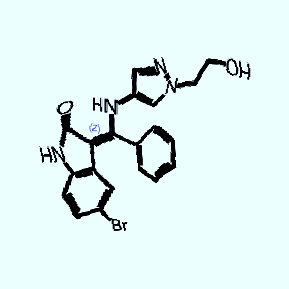 O=C1Nc2ccc(Br)cc2/C1=C(/Nc1cnn(CCO)c1)c1ccccc1